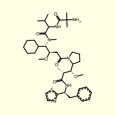 CO[C@H](CC(=O)N1CCCC1[C@H](OC)[C@@H](C)C(=O)N[C@@H](Cc1ccccc1)c1nccs1)[C@H](C1CCCCC1)N(C)C(=O)C(NC(=O)C(C)(C)N)C(C)C